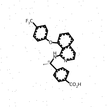 C[C@H](Nc1nccc2cccc(Oc3ccc(C(F)(F)F)cc3)c12)c1ccc(C(=O)O)cc1